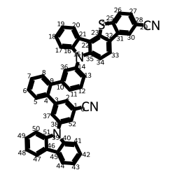 N#Cc1cc(-c2ccccc2-c2cccc(-n3c4ccccc4c4c5sc6ccc(C#N)cc6c5ccc43)c2)cc(-n2c3ccccc3c3ccccc32)c1